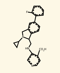 O=C(O)c1ccncc1NCC1c2ccc(-c3ccccc3F)cc2CN1C1CC1